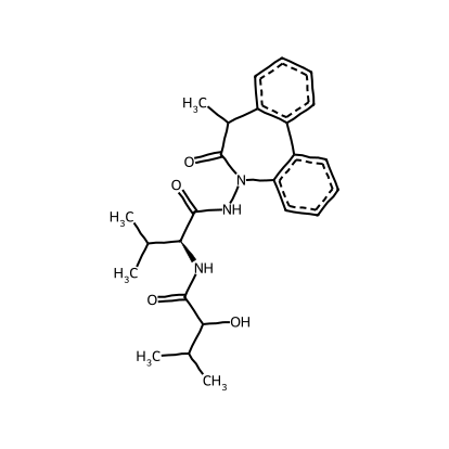 CC1C(=O)N(NC(=O)[C@@H](NC(=O)C(O)C(C)C)C(C)C)c2ccccc2-c2ccccc21